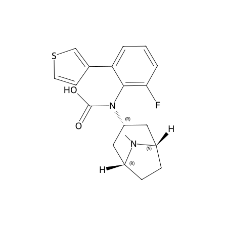 CN1[C@@H]2CC[C@H]1C[C@@H](N(C(=O)O)c1c(F)cccc1-c1ccsc1)C2